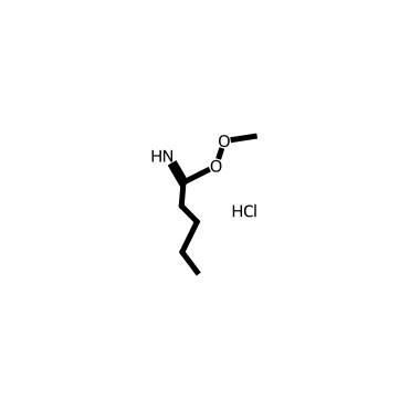 CCCCC(=N)OOC.Cl